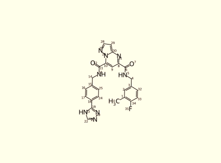 Cc1cc(CNC(=O)c2cc(C(=O)NCc3ccc(-c4nnc[nH]4)cc3)n3nccc3n2)ccc1F